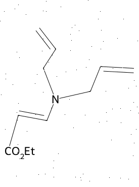 C=CCN(C=CC(=O)OCC)CC=C